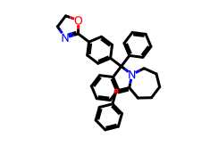 C(=C1CCCCCN1C(c1ccccc1)(c1ccccc1)c1ccc(C2=NCCO2)cc1)c1ccccc1